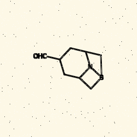 O=CC1CC2CB3CC(C1)N32